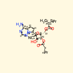 CC(C)CC(=O)O[C@H]1[C@@H](O)[C@](C#N)(c2ccc3c(N)ncnn23)O[C@@H]1COC(=O)[C@@H](C)C(C)C